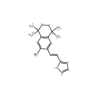 CCC(C)c1cc2c(cc1C=Cc1ccno1)C(C)(C)CCC2(C)C